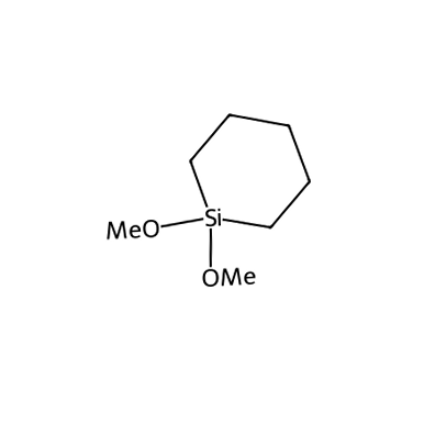 CO[Si]1(OC)CCCCC1